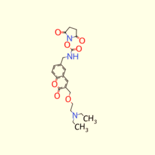 CCN(CC)CCOCc1cc2cc(CNC(=O)ON3C(=O)CCC3=O)ccc2oc1=O